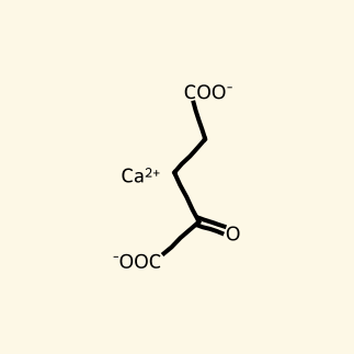 O=C([O-])CCC(=O)C(=O)[O-].[Ca+2]